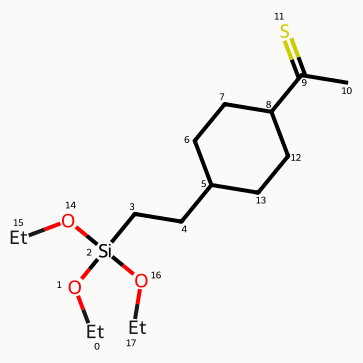 CCO[Si](CCC1CCC(C(C)=S)CC1)(OCC)OCC